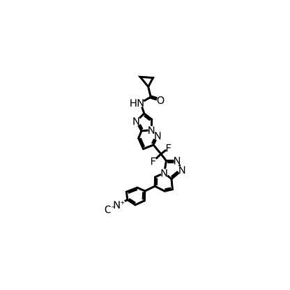 [C-]#[N+]c1ccc(-c2ccc3nnc(C(F)(F)c4ccc5nc(NC(=O)C6CC6)cn5n4)n3c2)cc1